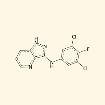 Fc1c(Cl)cc(Nc2n[nH]c3cccnc23)cc1Cl